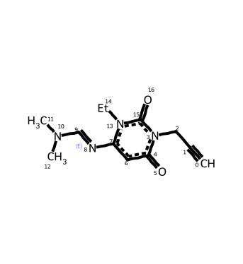 C#CCn1c(=O)cc(/N=C/N(C)C)n(CC)c1=O